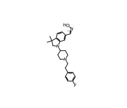 CC1(C)CN(C2CCN(CCc3ccc(F)cc3)CC2)c2cc(/C=N\O)ccc21